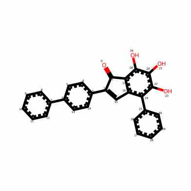 O=C1C(c2ccc(-c3ccccc3)cc2)=Cc2c1c(O)c(O)c(O)c2-c1ccccc1